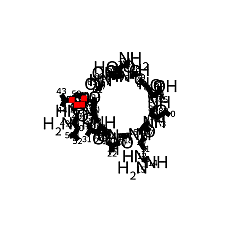 CC[C@H](C)[C@@H]1NC(=O)[C@@H](CCCNC(=N)N)NC(=O)[C@H](CC(C)C)NC(=O)[C@H]([C@H](O)C(C)C)NC(=O)[C@@H](NC(=O)[C@H](CC(C)C)NC(=O)[C@@H](N)CC(C)C)[C@@H](c2ccccc2)OC(=O)[C@H](CO)NC(=O)[C@H]([C@H](O)C(N)=O)NC(=O)CNC(=O)[C@H]([C@H](C)O)NC1=O